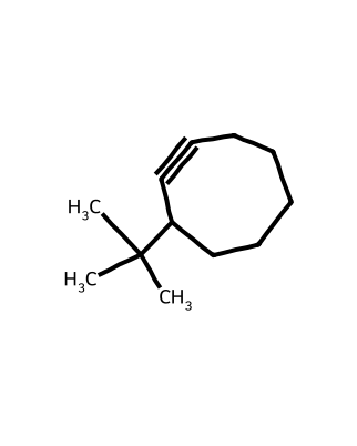 CC(C)(C)C1C#CCCCCC1